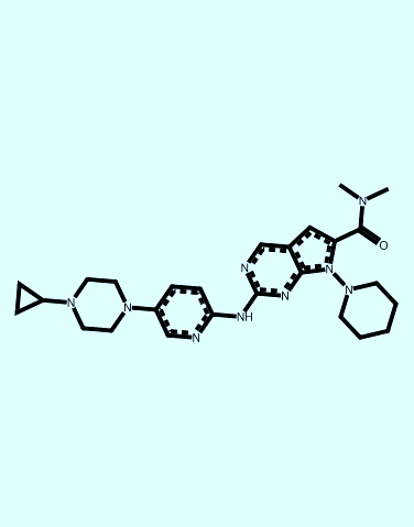 CN(C)C(=O)c1cc2cnc(Nc3ccc(N4CCN(C5CC5)CC4)cn3)nc2n1N1CCCCC1